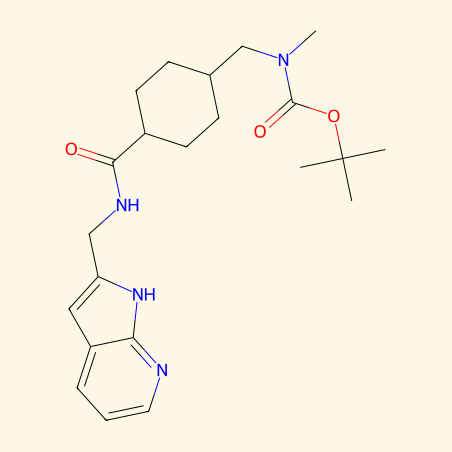 CN(CC1CCC(C(=O)NCc2cc3cccnc3[nH]2)CC1)C(=O)OC(C)(C)C